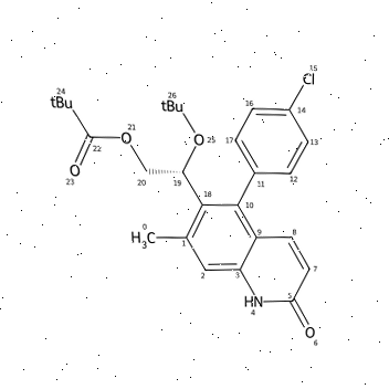 Cc1cc2[nH]c(=O)ccc2c(-c2ccc(Cl)cc2)c1[C@H](COC(=O)C(C)(C)C)OC(C)(C)C